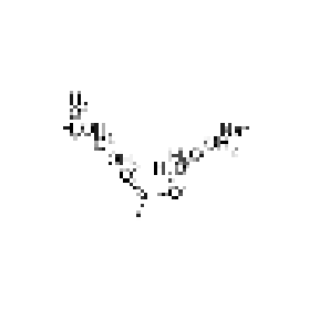 CC(=O)[O-].O.O.O.O.O.O.O.[Na+]